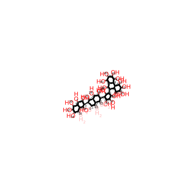 Bc1c(-c2c(O)c(O)c3c(O)c(O)c(O)c(B)c3c2O)c(O)c2c(O)c(O)c(-c3c(O)c(O)c(O)c(-c4c(O)c5c(O)c(O)c(O)c(O)c5c5c(O)c(O)c(O)c(O)c45)c3O)c(B)c2c1B